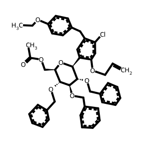 C=CCOc1cc(Cl)c(Cc2ccc(OCC)cc2)cc1[C@@H]1O[C@H](COC(C)=O)[C@@H](OCc2ccccc2)[C@H](OCc2ccccc2)[C@H]1OCc1ccccc1